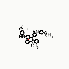 COc1ccc(Nc2ccc(C(c3ccc(Nc4ccc(OC)cc4)cc3)c3c(-c4ccccc4)n(C)c4ccccc34)cc2)cc1